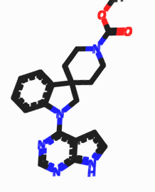 CC(C)OC(=O)N1CCC2(CC1)CN(c1ncnc3[nH]ccc13)c1ccccc12